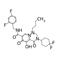 CCCCN1CN(C2CCC(F)(F)CC2)C(=O)c2c(O)c(=O)c(C(=O)NCc3ccc(F)cc3F)cn21